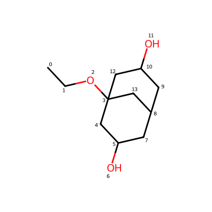 CCOC12CC(O)CC(CC(O)C1)C2